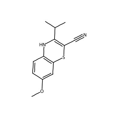 COc1ccc2c(c1)SC(C#N)=C(C(C)C)N2